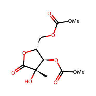 COC(=O)OC[C@H]1OC(=O)[C@@](C)(O)[C@@H]1OC(=O)OC